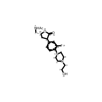 CC(=O)NC[C@H]1CC(c2ccc(N3CCN(CCO)CC3)c(F)c2)C(=O)O1